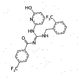 O=C(/N=C(/NCc1ccccc1C(F)(F)F)Nc1cccc(O)n1)c1ccc(C(F)(F)F)cc1